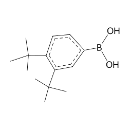 CC(C)(C)c1ccc(B(O)O)cc1C(C)(C)C